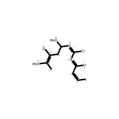 C\C=C/C(CC)=N/C(Cl)=N\C(C/C(Cl)=C(\C)OC)OC